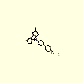 Cc1ccc2c(c1)c1cc(C)ccc1n2-c1ccc(-c2ccc(N)cc2)cc1